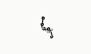 O=C(NCCCN1CCCC1)c1cccc(OC2CCN(Cc3ccc(C#Cc4ccccc4)cc3)CC2)c1